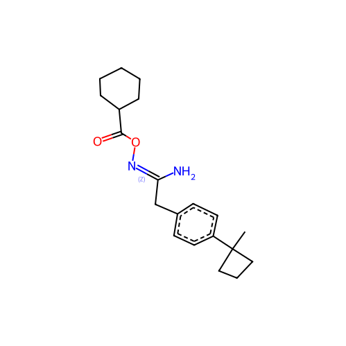 CC1(c2ccc(C/C(N)=N/OC(=O)C3CCCCC3)cc2)CCC1